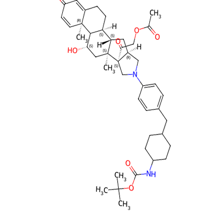 CC(=O)OCC(=O)[C@@]12CN(c3ccc(CC4CCC(NC(=O)OC(C)(C)C)CC4)cc3)C[C@@H]1C[C@H]1[C@@H]3CCC4=CC(=O)C=C[C@]4(C)C3[C@@H](O)C[C@@]12C